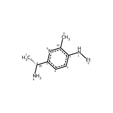 CCNc1ccc([C@@H](C)N)nc1C